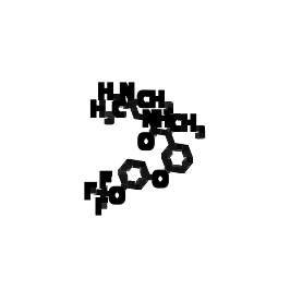 CC(C(=O)NCC(C)(C)N)c1cccc(Oc2cccc(OC(F)(F)F)c2)c1